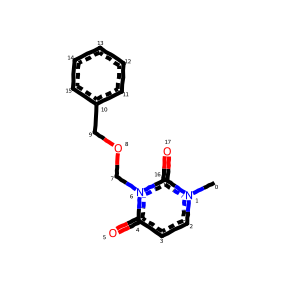 Cn1ccc(=O)n(COCc2ccccc2)c1=O